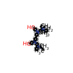 C=Cc1c(/C=C\C)c(/C=C(\C)N(c2ccc(O)cc2)c2ccc(-c3ccc(N(c4ccc(O)cc4)c4ccc5c(c4)c4ccccc4n5/C(C)=C/C=C\C)cc3)cc2)c(C)n1-c1ccccc1